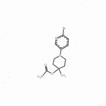 CC1(OC(N)=O)CCN(c2ccc(Br)nc2)CC1